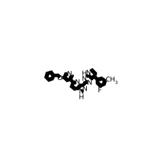 Cc1cc(F)cc(-c2ccnc3[nH]c(-c4n[nH]c5ccc(-c6cncc(OCc7ccccc7)c6)nc45)nc23)c1